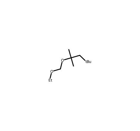 CCOCOC(C)(C)CC(C)(C)C